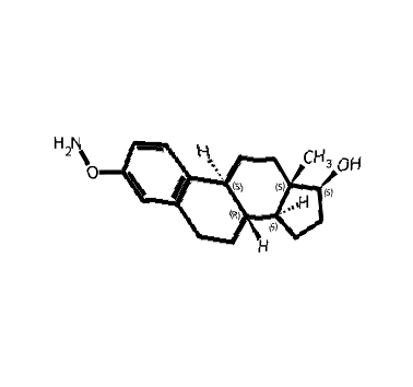 C[C@]12CC[C@@H]3c4ccc(ON)cc4CC[C@H]3[C@@H]1CC[C@@H]2O